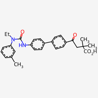 CCN(C(=O)Nc1ccc(-c2ccc(C(=O)CC(C)(C)C(=O)O)cc2)cc1)c1cccc(C)c1